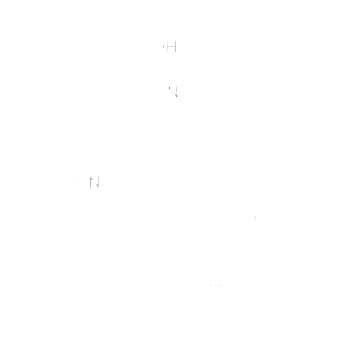 COc1cc(N)c(C=NO)cc1OC